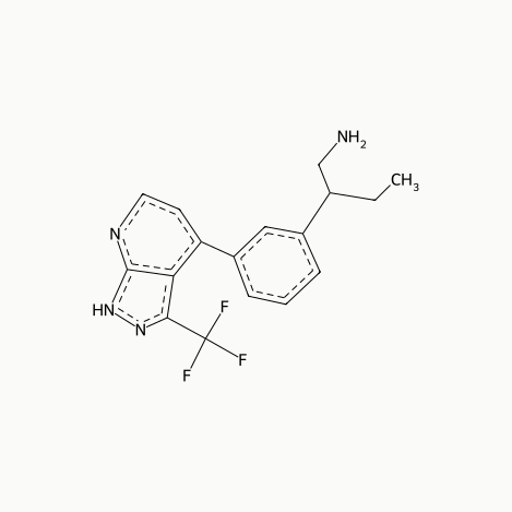 CCC(CN)c1cccc(-c2ccnc3[nH]nc(C(F)(F)F)c23)c1